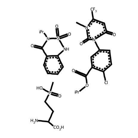 CC(C)N1C(=O)c2ccccc2NS1(=O)=O.CC(C)OC(=O)c1cc(-n2c(=O)cc(C(F)(F)F)n(C)c2=O)ccc1Cl.CP(=O)(O)CCC(N)C(=O)O